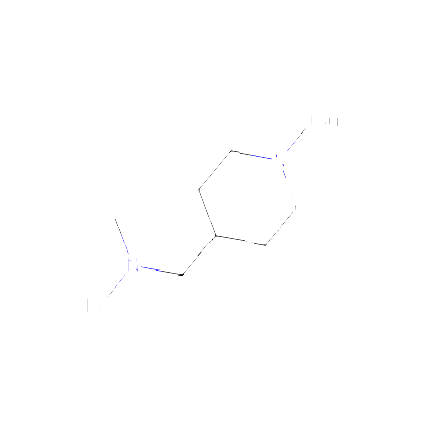 CCN(C)CC1CCN(C(C)(C)C)CC1